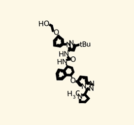 CN1CCCC1c1nnc2ccc(O[C@@H]3CC[C@H](NC(=O)Nc4cc(C(C)(C)C)nn4-c4cccc(OCCO)c4)c4ccccc43)cn12